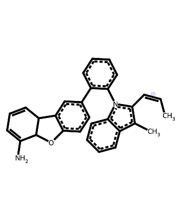 C/C=C\c1c(C)c2ccccc2n1-c1ccccc1-c1ccc2c(c1)C1C=CC=C(N)C1O2